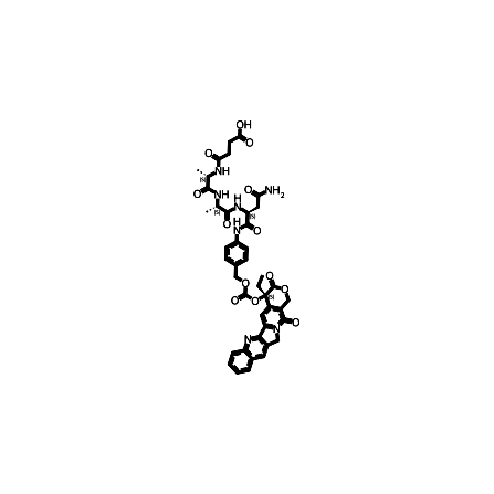 CC[C@@]1(OC(=O)OCc2ccc(NC(=O)[C@H](CC(N)=O)NC(=O)[C@H](C)NC(=O)[C@H](C)NC(=O)CCC(=O)O)cc2)C(=O)OCc2c1cc1n(c2=O)Cc2cc3ccccc3nc2-1